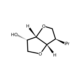 CC(C)[C@@H]1CO[C@@H]2[C@H]1OC[C@@H]2O